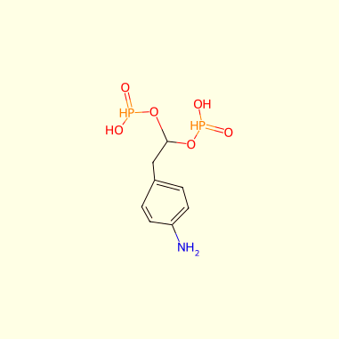 Nc1ccc(CC(O[PH](=O)O)O[PH](=O)O)cc1